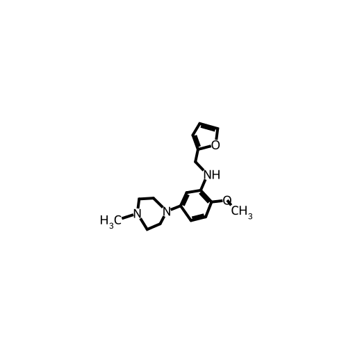 COc1ccc(N2CCN(C)CC2)cc1NCc1ccco1